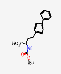 CC(C)(C)OC(=O)N[C@H](CCc1ccc(-c2ccccc2)cc1)C(=O)O